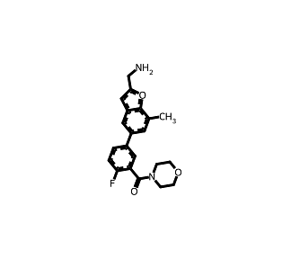 Cc1cc(-c2ccc(F)c(C(=O)N3CCOCC3)c2)cc2cc(CN)oc12